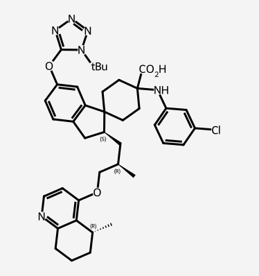 C[C@@H](COc1ccnc2c1[C@H](C)CCC2)C[C@H]1Cc2ccc(Oc3nnnn3C(C)(C)C)cc2C12CCC(Nc1cccc(Cl)c1)(C(=O)O)CC2